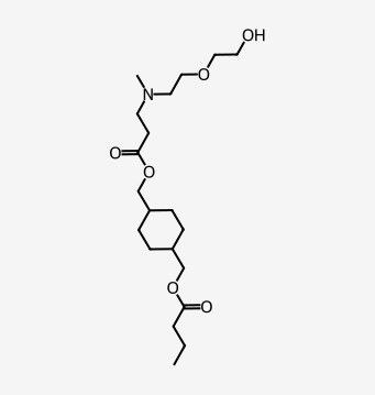 CCCC(=O)OCC1CCC(COC(=O)CCN(C)CCOCCO)CC1